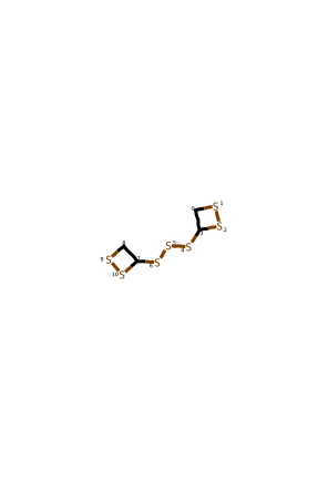 C1SSC1SSSC1CSS1